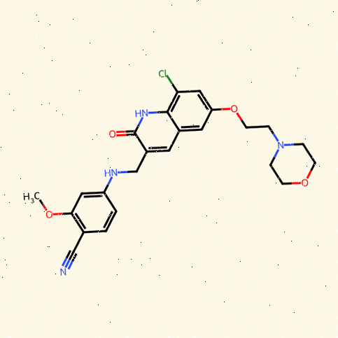 COc1cc(NCc2cc3cc(OCCN4CCOCC4)cc(Cl)c3[nH]c2=O)ccc1C#N